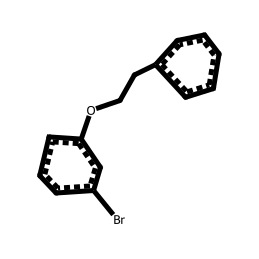 Brc1cccc(OCCc2ccccc2)c1